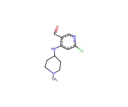 CN1CCC(Nc2cc(Cl)ncc2C=O)CC1